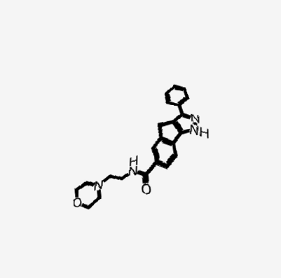 O=C(NCCN1CCOCC1)c1ccc2c(c1)Cc1c(-c3ccccc3)n[nH]c1-2